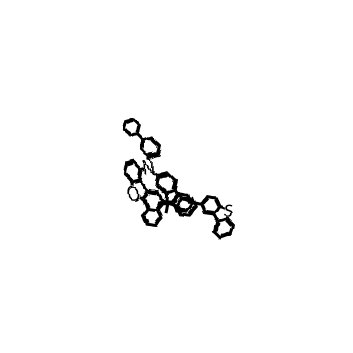 CC1(C)c2ccccc2-c2ccc(N(c3cccc(-c4ccccc4)c3)c3cccc4oc5c6ccccc6c(-c6ccc(-c7ccc8sc9ccccc9c8c7)cc6)cc5c34)cc21